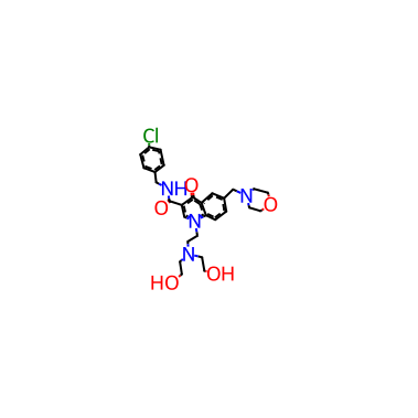 O=C(NCc1ccc(Cl)cc1)c1cn(CCN(CCO)CCO)c2ccc(CN3CCOCC3)cc2c1=O